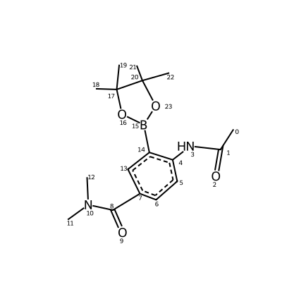 CC(=O)Nc1ccc(C(=O)N(C)C)cc1B1OC(C)(C)C(C)(C)O1